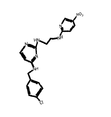 O=[N+]([O-])c1ccc(NCCNc2nccc(NCc3ccc(Cl)cc3)n2)nc1